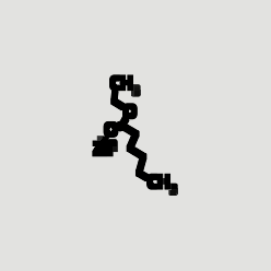 CCCCCC(=O)OCC.[Zn].[Zn]